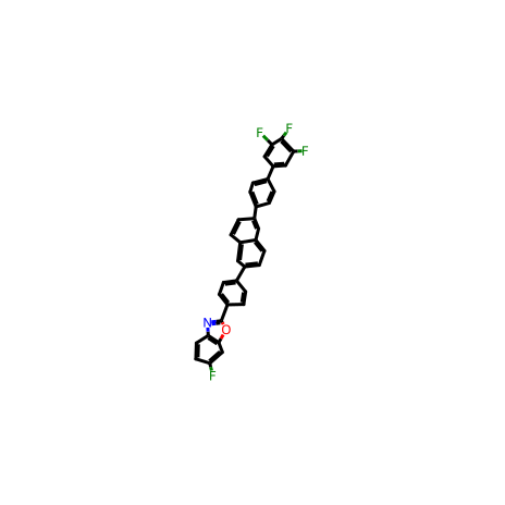 Fc1ccc2nc(-c3ccc(-c4ccc5cc(-c6ccc(-c7cc(F)c(F)c(F)c7)cc6)ccc5c4)cc3)oc2c1